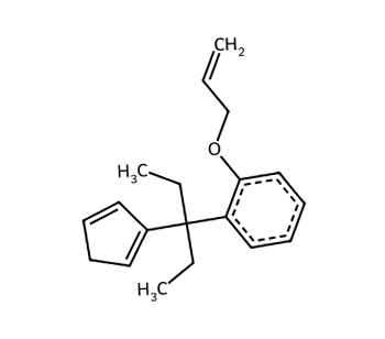 C=CCOc1ccccc1C(CC)(CC)C1=CCC=C1